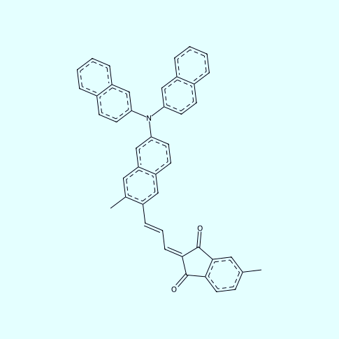 Cc1ccc2c(c1)C(=O)C(=CC=Cc1cc3ccc(N(c4ccc5ccccc5c4)c4ccc5ccccc5c4)cc3cc1C)C2=O